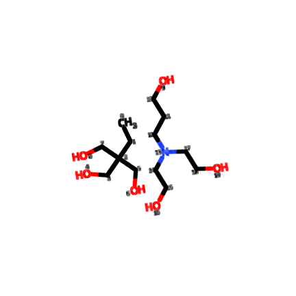 CCC(CO)(CO)CO.OCCCN(CCO)CCO